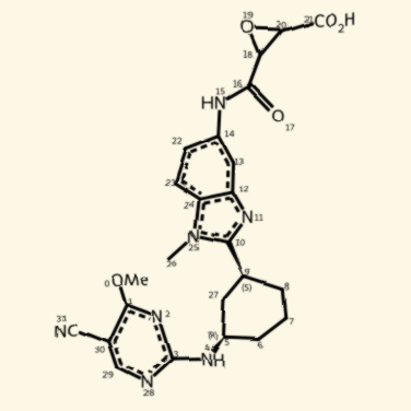 COc1nc(N[C@@H]2CCC[C@H](c3nc4cc(NC(=O)C5OC5C(=O)O)ccc4n3C)C2)ncc1C#N